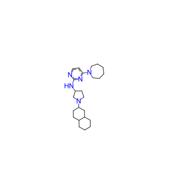 c1cc(N2CCCCCC2)nc(NC2CCN(C3CCC4CCCCC4C3)C2)n1